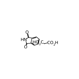 O=C(O)CC(=O)O.O=C1NC(=O)c2ccccc21